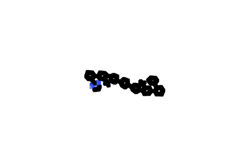 CC1(C)c2cc(-c3ccc(-c4ccc5c(c4)C(C)(C)c4cc(-c6ccccc6-c6ncccn6)ccc4-5)cc3)ccc2-c2ccc(-c3ccccc3-c3ccccc3)cc21